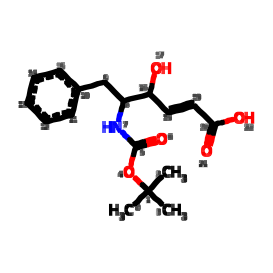 CC(C)(C)OC(=O)NC(Cc1ccccc1)C(O)C=CC(=O)O